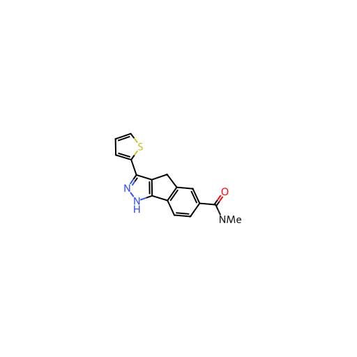 CNC(=O)c1ccc2c(c1)Cc1c(-c3cccs3)n[nH]c1-2